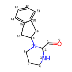 O=CC1NCCCN1C1Cc2ccccc2C1